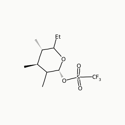 CCC1O[C@H](OS(=O)(=O)C(F)(F)F)C(C)[C@@H](C)[C@@H]1C